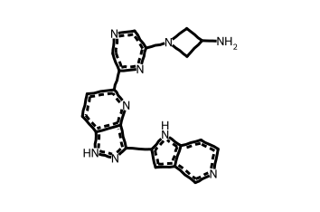 NC1CN(c2cncc(-c3ccc4[nH]nc(-c5cc6cnccc6[nH]5)c4n3)n2)C1